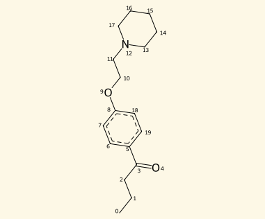 CCCC(=O)c1ccc(OCCN2CCCCC2)cc1